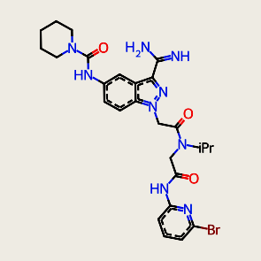 CC(C)N(CC(=O)Nc1cccc(Br)n1)C(=O)Cn1nc(C(=N)N)c2cc(NC(=O)N3CCCCC3)ccc21